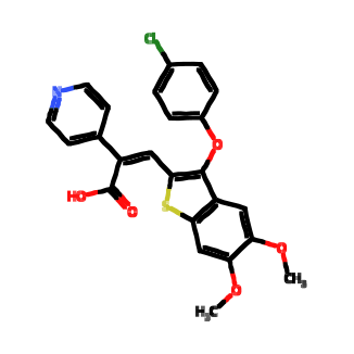 COc1cc2sc(C=C(C(=O)O)c3ccncc3)c(Oc3ccc(Cl)cc3)c2cc1OC